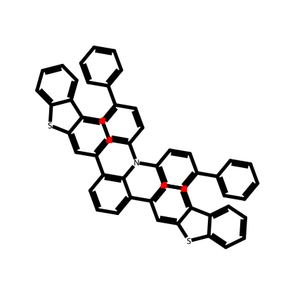 c1ccc(-c2ccc(N(c3ccc(-c4ccccc4)cc3)c3c(-c4ccc5c(c4)sc4ccccc45)cccc3-c3ccc4c(c3)sc3ccccc34)cc2)cc1